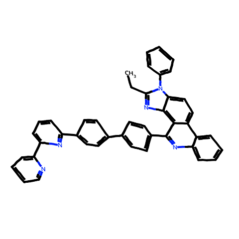 CCc1nc2c3c(-c4ccc(-c5ccc(-c6cccc(-c7ccccn7)n6)cc5)cc4)nc4ccccc4c3ccc2n1-c1ccccc1